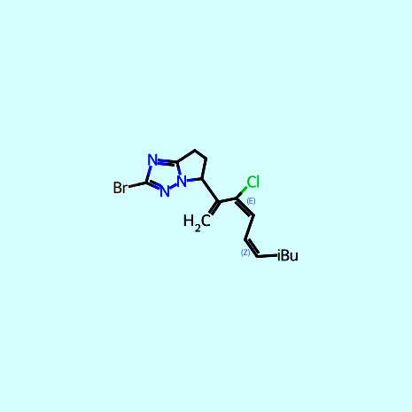 C=C(/C(Cl)=C\C=C/C(C)CC)C1CCc2nc(Br)nn21